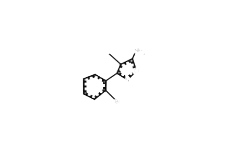 Cc1c(-c2ccccc2Br)noc1N